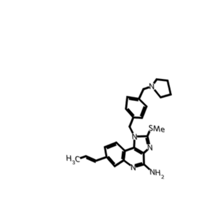 C/C=C/c1ccc2c(c1)nc(N)c1nc(SC)n(Cc3ccc(CN4CCCC4)cc3)c12